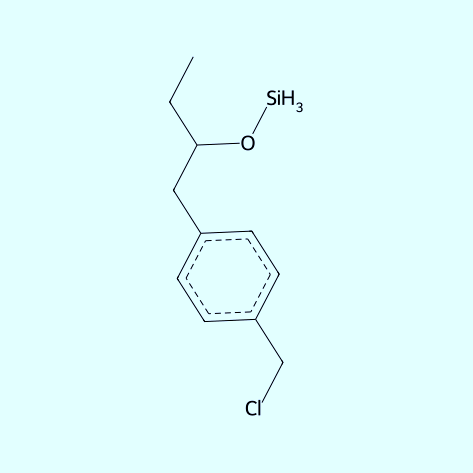 CCC(Cc1ccc(CCl)cc1)O[SiH3]